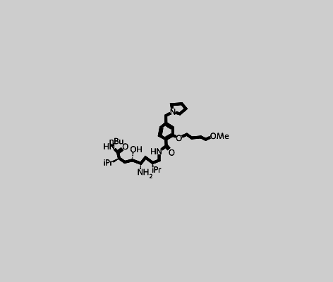 CCCCNC(=O)[C@@H](C[C@H](O)[C@@H](N)C[C@H](CNC(=O)c1ccc(CN2CCCC2)cc1OCCCCOC)C(C)C)C(C)C